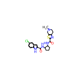 CN1CCc2nc(C(=O)N[C@H]3CCC[C@H]3NC(=O)c3cc4cc(Cl)ccc4[nH]3)sc2C1